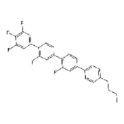 CCCCc1ccc(-c2ccc(-c3ccc(-c4cc(F)c(F)c(F)c4)c(CC)c3)c(F)c2)cc1